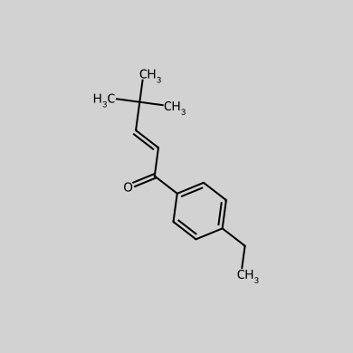 CCc1ccc(C(=O)C=CC(C)(C)C)cc1